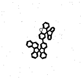 c1ccc2c(c1)Oc1ccc(-c3ccc4c(c3)C3(c5ccccc5-4)c4ccccc4-c4c3ccc3ccccc43)cc1C21c2ccccc2-c2ccccc21